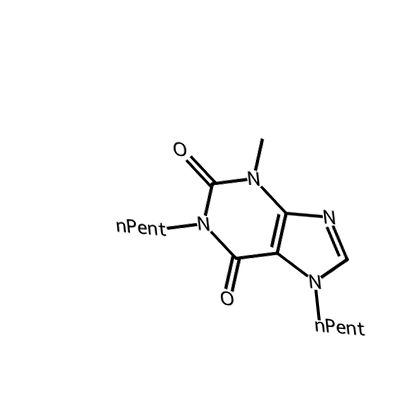 CCCCCn1c(=O)c2c(ncn2CCCCC)n(C)c1=O